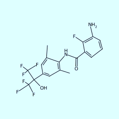 Cc1cc(C(O)(C(F)(F)F)C(F)(F)F)cc(C)c1NC(=O)c1cccc(N)c1F